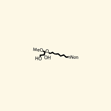 CCCCCCCCCCCCCCCCOC(OC)C(O)CO